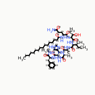 CCCCCCCCCCCCCCCC(=O)NC(CCC(N)=O)C(=O)N[C@H](C(=O)N[C@H](C(=O)N[C@@H](C)C(=O)NCC(=O)N[C@@H](Cc1c[nH]cn1)C(=O)N[C@@H](Cc1ccccc1)C(=O)NC)[C@@H](C)CC)[C@@H](C)O